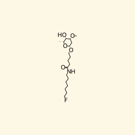 CO[C@@H]1C[C@H](OCCCCC(=O)NCCCCCCCF)O[C@H](C)[C@@H]1O